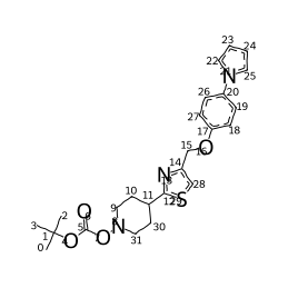 CC(C)(C)OC(=O)ON1CCC(c2nc(COc3ccc(-n4cccc4)cc3)cs2)CC1